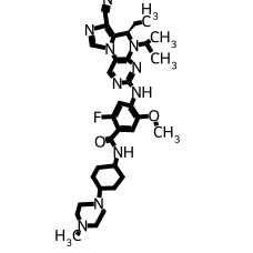 CC[C@@H]1c2c(C#N)ncn2-c2cnc(Nc3cc(F)c(C(=O)NC4CCC(N5CCN(C)CC5)CC4)cc3OC)nc2N1C(C)C